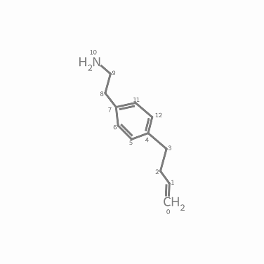 C=CCCc1ccc(CCN)cc1